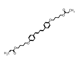 C=CC(=O)OCCCCOc1ccc(C=CC=Cc2ccc(OCCCCOC(=O)CC)cc2)cc1